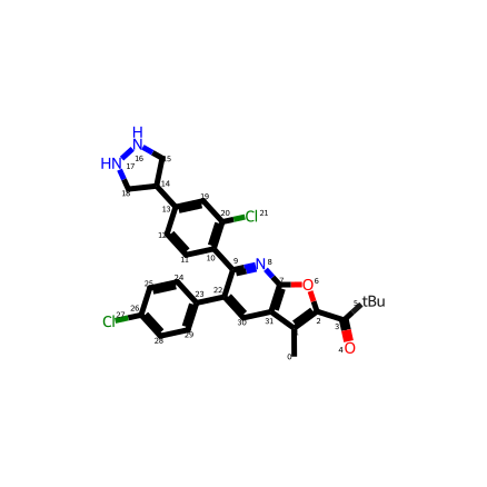 Cc1c(C(=O)C(C)(C)C)oc2nc(-c3ccc(C4CNNC4)cc3Cl)c(-c3ccc(Cl)cc3)cc12